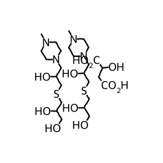 CN1CCN(CC(O)CSCC(O)CO)CC1.CN1CCN(CC(O)CSCC(O)CO)CC1.O=C(O)CC(O)C(=O)O